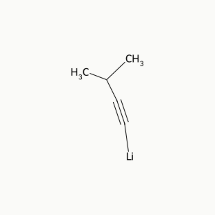 [Li][C]#CC(C)C